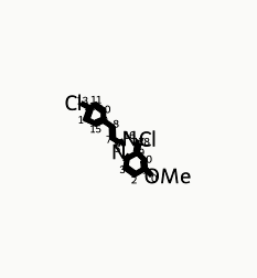 COc1ccc2nc(/C=C/c3ccc(Cl)cc3)nc(Cl)c2c1